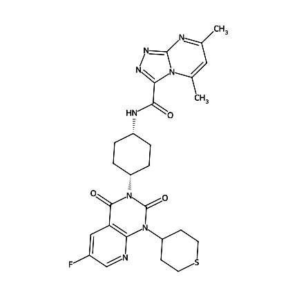 Cc1cc(C)n2c(C(=O)N[C@H]3CC[C@@H](n4c(=O)c5cc(F)cnc5n(C5CCSCC5)c4=O)CC3)nnc2n1